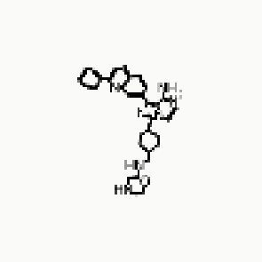 Nc1nccn2c(C3CCC(CNC4CNCCO4)CC3)nc(-c3ccc4ccc(-c5ccccc5)nc4c3)c12